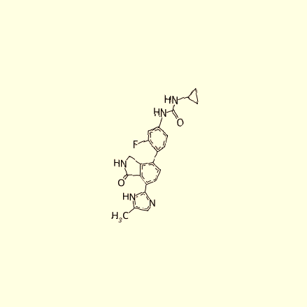 Cc1cnc(-c2ccc(-c3ccc(NC(=O)NC4CC4)cc3F)c3c2C(=O)NC3)[nH]1